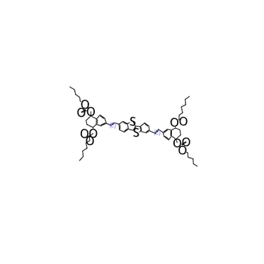 CCCCCCC(=O)OC1CCC(OC(=O)OCCCCC)c2ccc(/C=C/c3ccc4c(c3)sc3c5ccc(/C=C/c6ccc7c(c6)C(OC(=O)OCCCCC)CCC7OC(=O)OCCCCC)cc5sc43)cc21